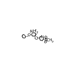 CS(=O)(=O)c1ccc(Oc2ccc(N)c(OCc3ccccc3)c2)cn1